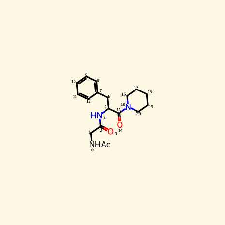 CC(=O)NCC(=O)NC(Cc1ccccc1)C(=O)N1CCCCC1